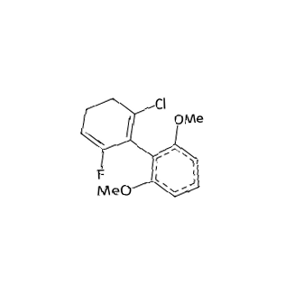 COc1cccc(OC)c1C1=C(Cl)CCC=C1F